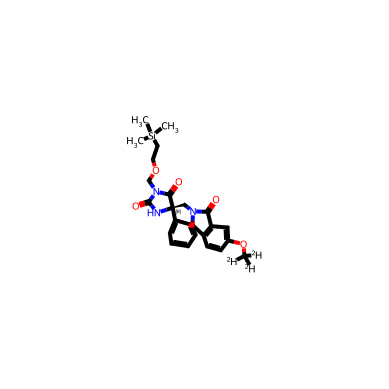 [2H]C([2H])([2H])Oc1ccc2c(c1)C(=O)N(C[C@@]1(c3ccccc3)NC(=O)N(COCC[Si](C)(C)C)C1=O)C2